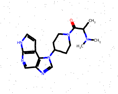 CC(C(=O)N1CCC(n2cnc3cnc4[nH]ccc4c32)CC1)N(C)C